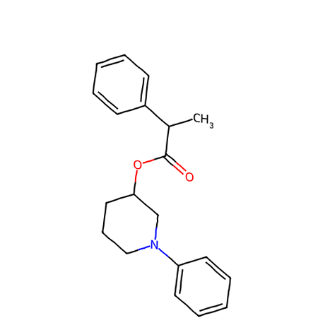 CC(C(=O)OC1CCCN(c2ccccc2)C1)c1ccccc1